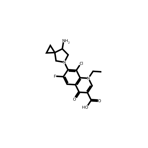 CCn1cc(C(=O)O)c(=O)c2cc(F)c(N3CC(N)C4(CC4)C3)c(Cl)c21